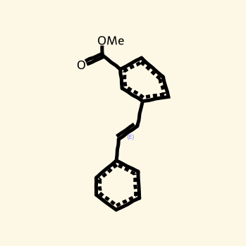 COC(=O)c1cccc(/C=C/c2ccccc2)c1